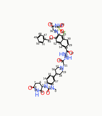 Cn1c(=O)n(C2CCC(=O)NC2=O)c2ccc(C3CCN(CC(=O)NNC(=O)c4ccc5c(F)c(N6CC(=O)NS6(=O)=O)c(OCc6ccccc6)cc5c4)CC3)cc21